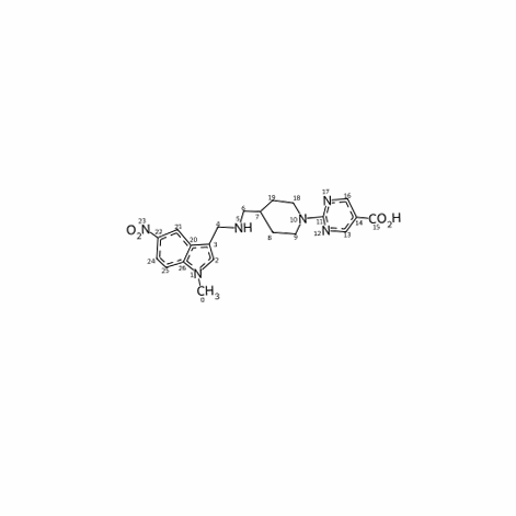 Cn1cc(CNCC2CCN(c3ncc(C(=O)O)cn3)CC2)c2cc([N+](=O)[O-])ccc21